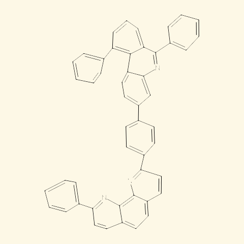 c1ccc(-c2ccc3ccc4ccc(-c5ccc(-c6ccc7c(c6)nc(-c6ccccc6)c6cccc(-c8ccccc8)c67)cc5)nc4c3n2)cc1